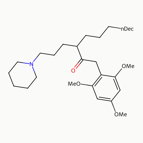 CCCCCCCCCCCCCC(CCCN1CCCCC1)C(=O)Cc1c(OC)cc(OC)cc1OC